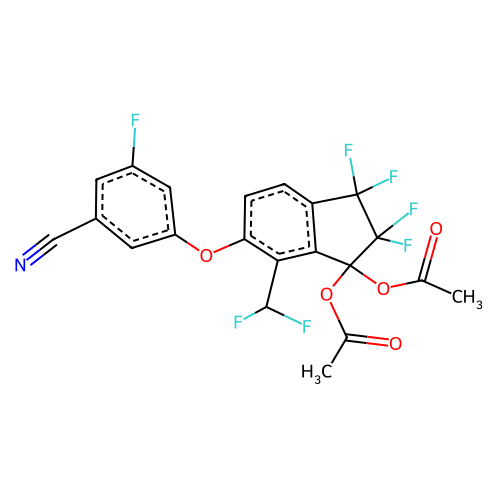 CC(=O)OC1(OC(C)=O)c2c(ccc(Oc3cc(F)cc(C#N)c3)c2C(F)F)C(F)(F)C1(F)F